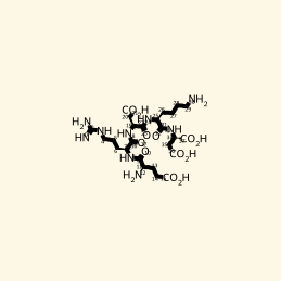 N=C(N)NCCC[C@H](NC(=O)[C@@H](N)CCC(=O)O)C(=O)N[C@@H](CC(=O)O)C(=O)N[C@@H](CCCCN)C(=O)N[C@@H](CC(=O)O)C(=O)O